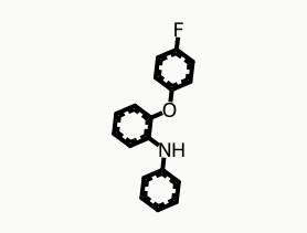 Fc1ccc(Oc2ccccc2Nc2ccccc2)cc1